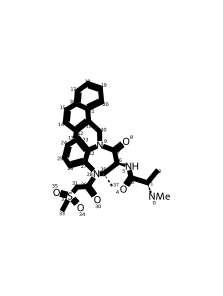 CN[C@@H](C)C(=O)N[C@@H]1C(=O)N(Cc2c(C)ccc3ccccc23)c2ccccc2N(C(=O)CS(C)(=O)=O)[C@H]1C